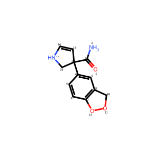 NC(=O)C1(c2ccc3c(c2)COO3)C=CNC1